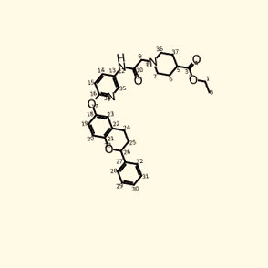 CCOC(=O)C1CCN(CC(=O)Nc2ccc(Oc3ccc4c(c3)CCC(c3ccccc3)O4)nc2)CC1